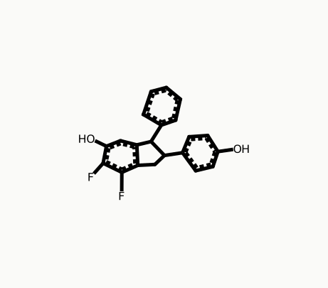 Oc1ccc(C2Cc3c(cc(O)c(F)c3F)C2c2ccccc2)cc1